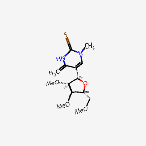 C=C1NC(=S)N(C)C=C1[C@@H]1O[C@H](COC)C(OC)[C@@H]1OC